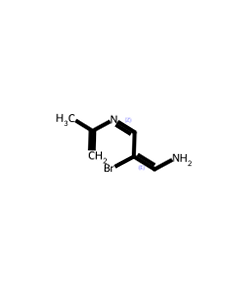 C=C(C)/N=C\C(Br)=C/N